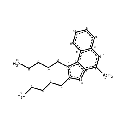 CCCCCc1nc2c([AsH2])nc3ccccc3c2n1CCCCN